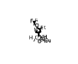 CCc1cc(C(C)N[S@+]([O-])C(C)(C)C)cnc1OCC(F)F